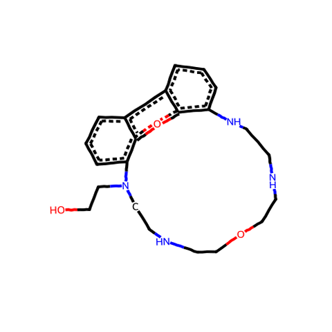 OCCN1CCNCCOCCNCCNc2cccc3c2oc2c1cccc23